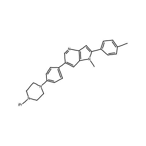 Cc1ccc(-c2cc3ncc(-c4ccc(N5CCN(C(C)C)CC5)cc4)cc3n2C)cc1